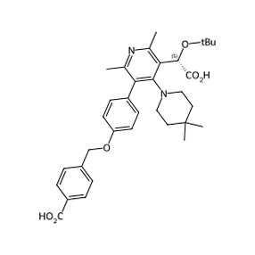 Cc1nc(C)c([C@H](OC(C)(C)C)C(=O)O)c(N2CCC(C)(C)CC2)c1-c1ccc(OCc2ccc(C(=O)O)cc2)cc1